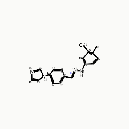 Cc1ccc(N/N=C/c2ccc(-n3ccnc3)cc2)cc1Cl